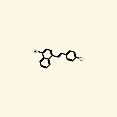 Clc1ccc(/C=C/c2ccc(Br)c3ccccc23)cc1